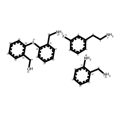 NCCc1cccc(F)c1.NCc1ccccc1N.NCc1ccccc1Sc1ccccc1CO